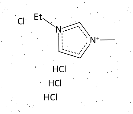 CCn1cc[n+](C)c1.Cl.Cl.Cl.[Cl-]